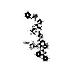 CC[C@H](NC(=O)OC(C)(C)C)C(=O)N[C@@H]1C(=O)N2[C@@H](CC[C@@H]1Cn1cc(CO[C@H](C)[C@H](NC(=O)[C@H](C)N(C)C)C(=O)N3CCC[C@H]3Cn3nnnc3Sc3ccccc3)nn1)CC[C@H]2C(=O)NC(c1ccccc1)c1ccccc1